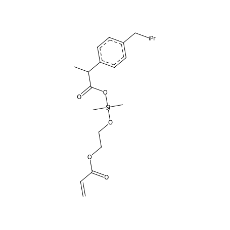 C=CC(=O)OCCO[Si](C)(C)OC(=O)C(C)c1ccc(CC(C)C)cc1